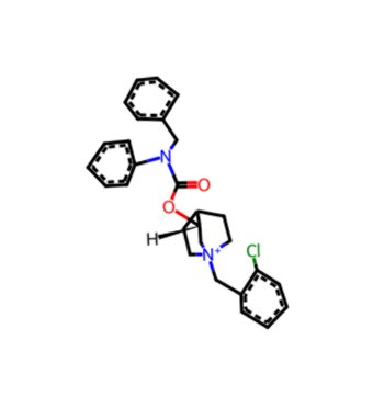 O=C(O[C@H]1C[N+]2(Cc3ccccc3Cl)CCC1CC2)N(Cc1ccccc1)c1ccccc1